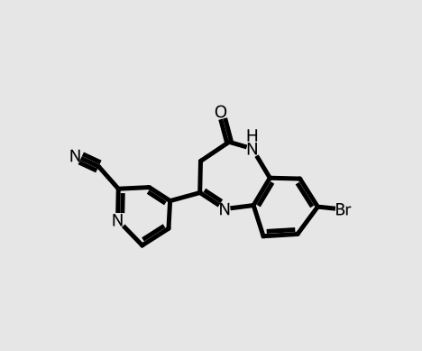 N#Cc1cc(C2=Nc3ccc(Br)cc3NC(=O)C2)ccn1